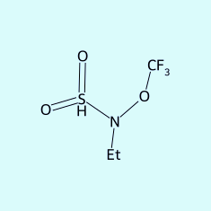 [CH2]CN(OC(F)(F)F)[SH](=O)=O